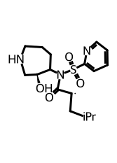 CC(C)C[CH]C(=O)N(C1CCCNC[C@@H]1O)S(=O)(=O)c1ccccn1